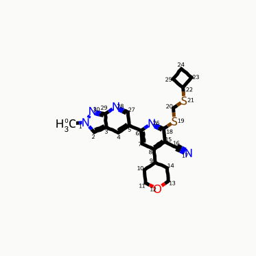 Cn1cc2cc(-c3cc(C4CCOCC4)c(C#N)c(SCSC4CCC4)n3)cnc2n1